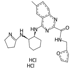 Cc1ccc2nc(C(=O)NCc3ccco3)nc(N[C@H]3CCCC[C@H]3NC3=NCCC3)c2c1.Cl.Cl